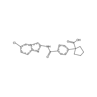 O=C(Nc1cn2cc(Cl)ccc2n1)c1ccc(C2(C(=O)O)CCCC2)cc1